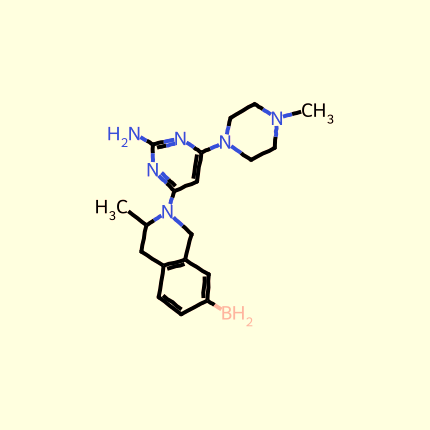 Bc1ccc2c(c1)CN(c1cc(N3CCN(C)CC3)nc(N)n1)C(C)C2